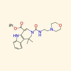 CC(C)OC(=O)C1=CN(C(=O)NCCN2CCOCC2)CC(C)(C)c2c1[nH]c1ccccc21